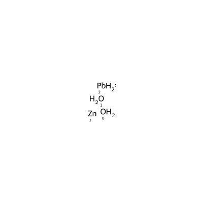 O.O.[PbH2].[Zn]